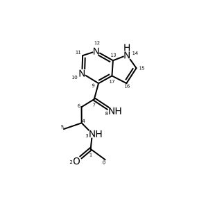 CC(=O)NC(C)CC(=N)c1ncnc2[nH]ccc12